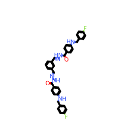 O=C(N/N=C/c1cccc(/C=N/NC(=O)c2ccc(NCc3ccc(F)cc3)cc2)c1)c1ccc(NCc2ccc(F)cc2)cc1